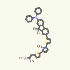 CCC1(CC)c2cc(-c3ccc(-c4ccc(-c5ccc(/C=C(\C#N)C(=O)O)s5)n4C)s3)ccc2-c2ccc(N(c3ccccc3)c3ccccc3)cc21